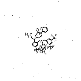 CCC(c1ccc(C(F)(F)F)cc1CN(Cc1cc(C(F)(F)F)cc(C(F)(F)F)c1)c1nnn(C)n1)N1CCN(c2ccccn2)C(=O)C1